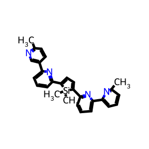 Cc1ccc(-c2cccc(C3=CC=C(c4cccc(-c5cccc(C)n5)n4)[Si]3(C)C)n2)cn1